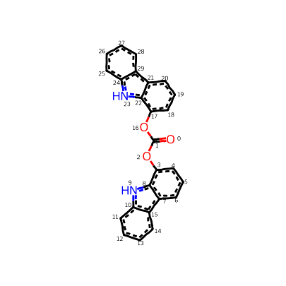 O=C(Oc1cccc2c1[nH]c1ccccc12)Oc1cccc2c1[nH]c1ccccc12